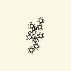 C1=CC2c3c(cccc3-c3nc(-c4ccccc4)nc(-c4cccc(-c5ccccc5)c4)n3)OC2c2c1n(-c1cccc(-c3ccccc3)c1)c1ccccc21